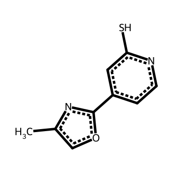 Cc1coc(-c2ccnc(S)c2)n1